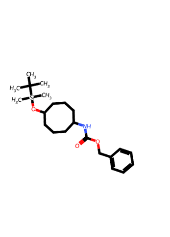 CC(C)(C)[Si](C)(C)OC1CCCC(NC(=O)OCc2ccccc2)CCC1